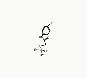 CC(C)[Si](OCc1nc2cc(Br)ccc2[nH]1)(C(C)C)C(C)C